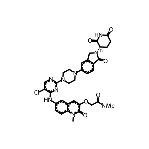 CNC(=O)COc1cc2cc(Nc3nc(N4CCN(c5ccc6c(c5)CN([C@H]5CCC(=O)NC5=O)C6=O)CC4)ncc3Cl)ccc2n(C)c1=O